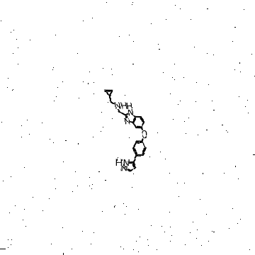 c1cc(-c2ccc(Oc3ccc4[nH]c(CNCC5CC5)nc4c3)cc2)[nH]n1